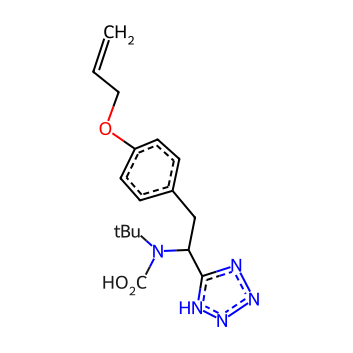 C=CCOc1ccc(CC(c2nnn[nH]2)N(C(=O)O)C(C)(C)C)cc1